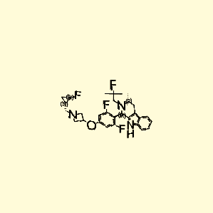 C[C@@H]1Cc2c([nH]c3ccccc23)[C@@H](c2c(F)cc(OC3CN(C[C@@H]4C[C@H]4F)C3)cc2F)N1CC(C)(C)F